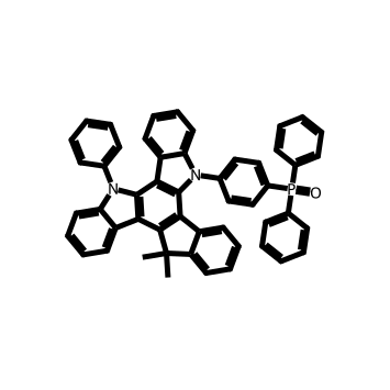 CC1(C)c2ccccc2-c2c1c1c3ccccc3n(-c3ccccc3)c1c1c3ccccc3n(-c3ccc(P(=O)(c4ccccc4)c4ccccc4)cc3)c21